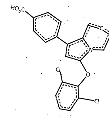 O=C(O)c1ccc(-c2cc(Oc3c(Cl)cccc3Cl)n3ccccc23)cc1